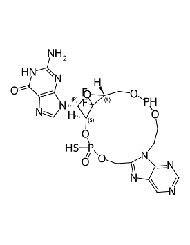 Nc1nc2c(ncn2[C@@H]2O[C@@H]3COPOCCn4c(nc5cncnc54)COP(=O)(S)O[C@@H]2C3(F)F)c(=O)[nH]1